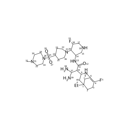 CCC12CCC(F)=C(C1)NC(C(C(=O)NC1CNCC(F)C1N1CCC(S(=O)(=O)N3CCN(C)CC3)CC1)C(N)N)C2